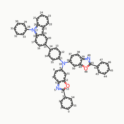 c1ccc(-c2nc3ccc(N(c4ccc(-c5ccc6c(c5)c5ccccc5n6-c5ccccc5)cc4)c4ccc5nc(-c6ccccc6)oc5c4)cc3o2)cc1